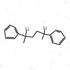 [Li][C](C)(CC[C]([Li])(C)c1ccccc1)c1ccccc1